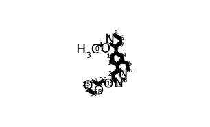 CCOc1ncccc1-c1ccc2c(c1)CCN1CN=C(OCC3COCCO3)C=C21